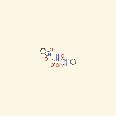 CC(C)C[C@H](N[C@H](CCN1C(=O)c2ccccc2C1=O)C(=O)O)C(=O)NCc1ccccc1